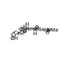 C=C1CC[C@H](O)C/C1=C/C=C1\CCC[C@@]2(C)C1CCC2C(C)C(=O)NCCCCNC(=O)CCCCCCC(=O)NC